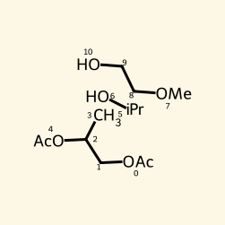 CC(=O)OCC(C)OC(C)=O.CC(C)O.COCCO